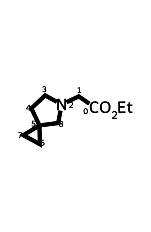 CCOC(=O)CN1CCC2(CC2)C1